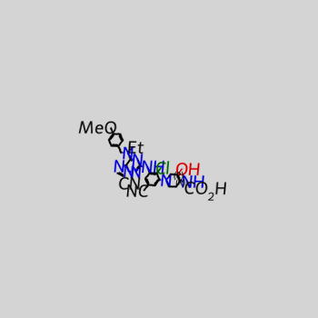 CCN(Cc1ccc(OC)cc1)c1nc(Nc2cc(C#N)cc(N3CC[C@@H](NC(=O)O)[C@H](O)C3)c2Cl)nn2c(C#N)cnc12